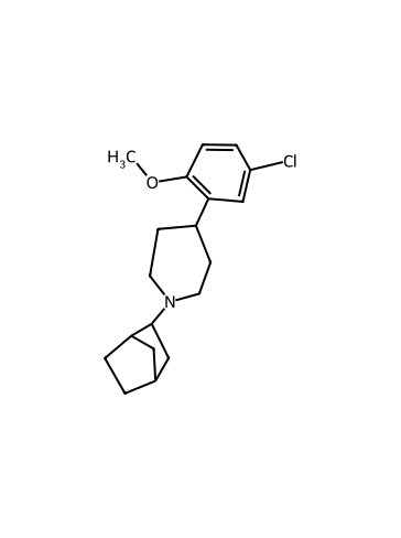 COc1ccc(Cl)cc1C1CCN(C2CC3CCC2C3)CC1